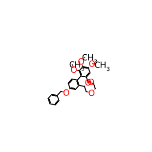 COc1cc(C=O)c(-c2ccc(OCc3ccccc3)cc2C2COCCO2)c(OC)c1OC